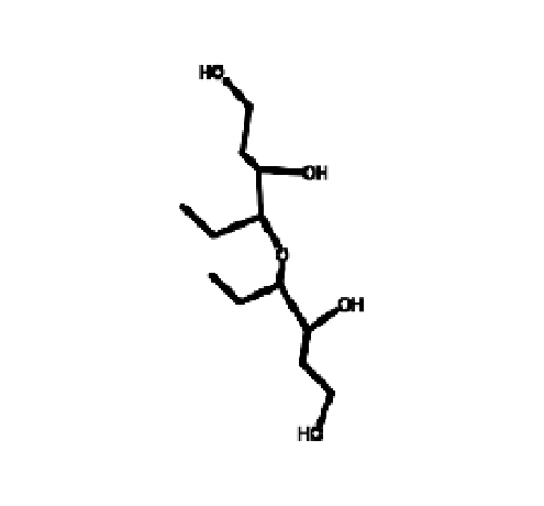 CCC(OC(CC)C(O)CCO)C(O)CCO